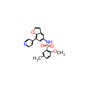 COc1ccc(C)cc1S(=O)(=O)Nc1cc(-c2ccncc2)c2occc2c1